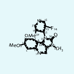 COc1ccc2c(c1)ncc1c2n(-c2c(F)cncc2OC)c(=O)n1C